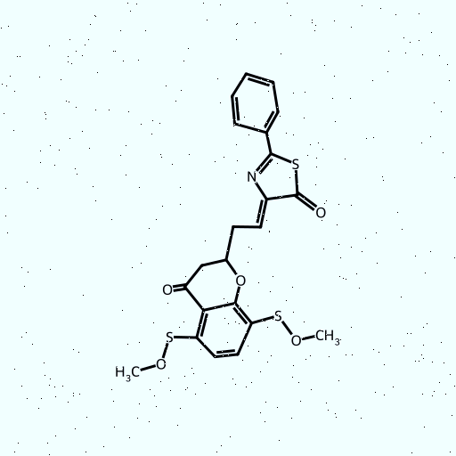 COSc1ccc(SOC)c2c1OC(CC=C1N=C(c3ccccc3)SC1=O)CC2=O